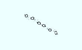 COc1cc(-c2ccc(NC(=O)c3ccc(N(C)C(=O)c4cc(OC)c(OC)cc4OC)c(OC)c3)c(OC)c2)ccc1NC(=O)c1ccc(N(C)C(=O)c2cc(OC)c(OC)cc2OC)c(OC)c1